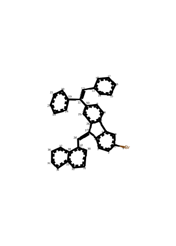 Brc1ccc2c(c1)-c1ccc(/C(=C\c3ccccc3)c3ccccc3)cc1/C2=C/c1cccc2ccccc12